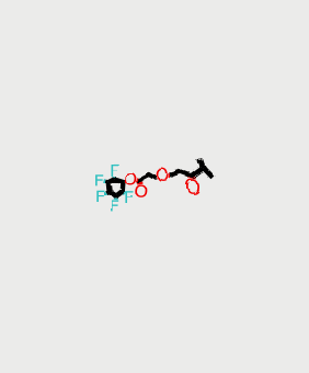 CC(C)C(=O)CCOCCC(=O)Oc1c(F)c(F)c(F)c(F)c1F